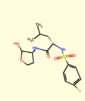 CC(C)C[C@H](NS(=O)(=O)c1ccc(F)cc1)C(=O)N[C@H]1CCOC1O